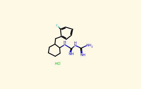 Cl.N=C(N)NC(=N)NC1CCCCC1Cc1ccccc1F